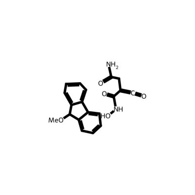 COC1c2ccccc2-c2ccccc21.NC(=O)CC(=C=O)C(=O)NO